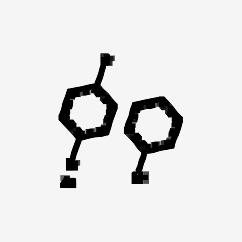 Brc1ccc(Br)cc1.Sc1ccccc1.[Zn]